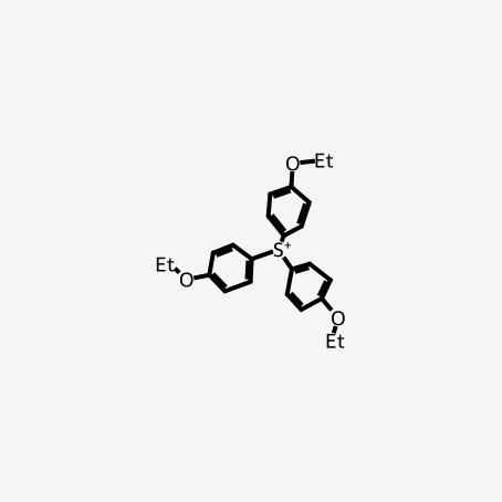 CCOc1ccc([S+](c2ccc(OCC)cc2)c2ccc(OCC)cc2)cc1